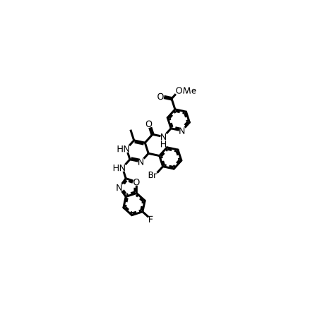 COC(=O)c1ccnc(NC(=O)C2=C(C)NC(Nc3nc4ccc(F)cc4o3)=NC2c2ccccc2Br)c1